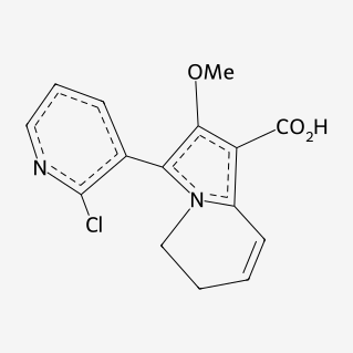 COc1c(C(=O)O)c2n(c1-c1cccnc1Cl)CCC=C2